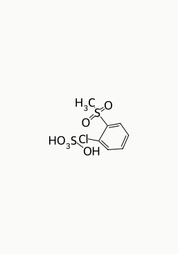 CS(=O)(=O)c1ccccc1Cl.O=S(=O)(O)O